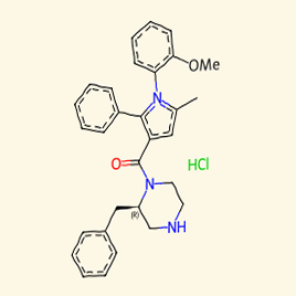 COc1ccccc1-n1c(C)cc(C(=O)N2CCNC[C@H]2Cc2ccccc2)c1-c1ccccc1.Cl